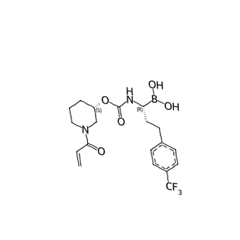 C=CC(=O)N1CCC[C@H](OC(=O)N[C@@H](CCc2ccc(C(F)(F)F)cc2)B(O)O)C1